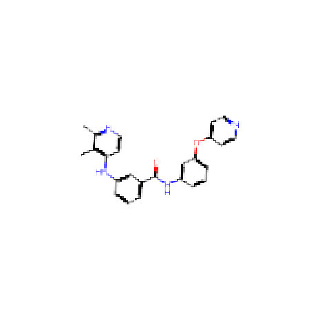 Cc1nccc(Nc2cccc(C(=O)Nc3cccc(Oc4ccncc4)c3)c2)c1C